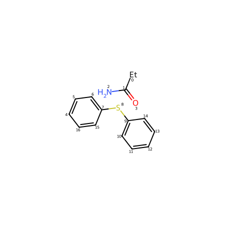 CCC(N)=O.c1ccc(Sc2ccccc2)cc1